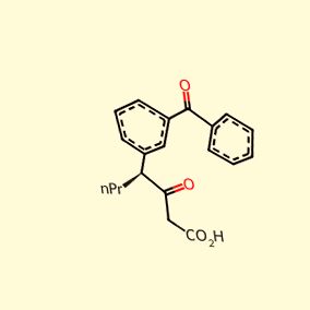 CCC[C@H](C(=O)CC(=O)O)c1cccc(C(=O)c2ccccc2)c1